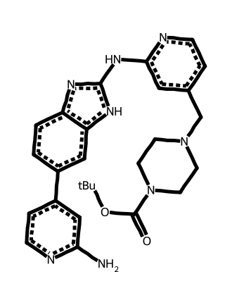 CC(C)(C)OC(=O)N1CCN(Cc2ccnc(Nc3nc4ccc(-c5ccnc(N)c5)cc4[nH]3)c2)CC1